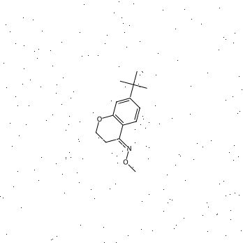 CON=C1CCOc2cc(C(C)(C)C)ccc21